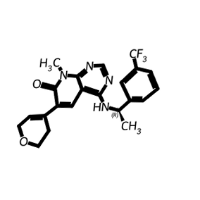 C[C@@H](Nc1ncnc2c1cc(C1=CCOCC1)c(=O)n2C)c1cccc(C(F)(F)F)c1